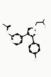 CC(=O)Nc1cc(-c2cn(CC(F)F)nc2-c2ccc(F)cc2)ccn1